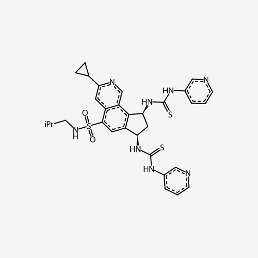 CC(C)CNS(=O)(=O)c1cc2c(c3cnc(C4CC4)cc13)[C@@H](NC(=S)Nc1cccnc1)C[C@H]2NC(=S)Nc1cccnc1